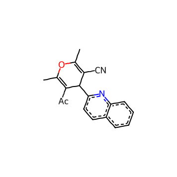 CC(=O)C1=C(C)OC(C)=C(C#N)C1c1ccc2ccccc2n1